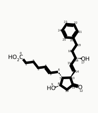 O=C(O)CCCC=CC[C@H]1[C@@H](O)CC(=O)[C@@H]1C=C[C@@H](O)CCc1ccccc1